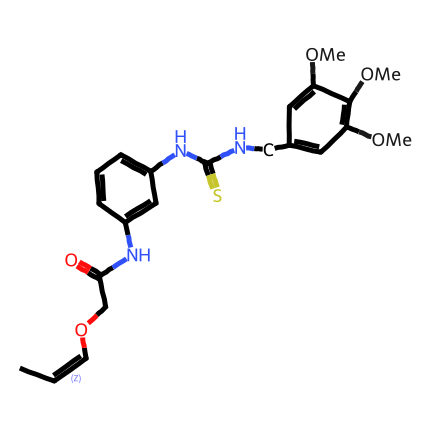 C/C=C\OCC(=O)Nc1cccc(NC(=S)NCc2cc(OC)c(OC)c(OC)c2)c1